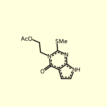 CSc1nc2[nH]ccc2c(=O)n1CCOC(C)=O